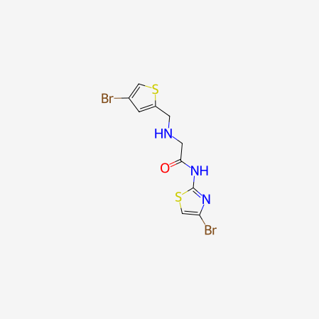 O=C(CNCc1cc(Br)cs1)Nc1nc(Br)cs1